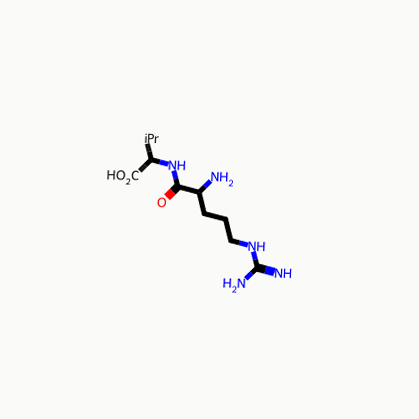 CC(C)C(NC(=O)C(N)CCCNC(=N)N)C(=O)O